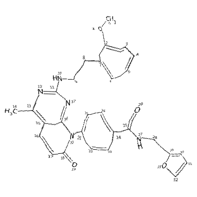 COc1ccccc1CCNc1nc(C)c2ccc(=O)n(-c3ccc(C(=O)NCc4ccco4)cc3)c2n1